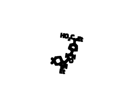 CCC(C(=O)O)c1ccc(-c2noc(-c3nn(CC)c4c3CCC(C)(C)C4)n2)cc1